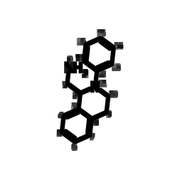 NCC1c2ccccc2CCN1c1ccccc1